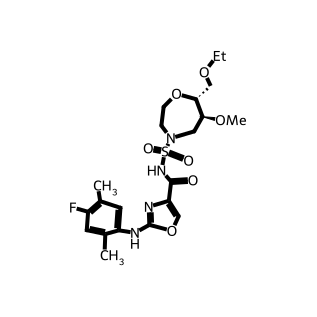 CCOC[C@H]1OCCN(S(=O)(=O)NC(=O)c2coc(Nc3cc(C)c(F)cc3C)n2)C[C@@H]1OC